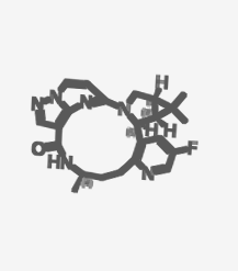 C[C@@H]1CCc2ncc(F)cc2[C@@H]2[C@@H]3[C@H](CN2c2ccn4ncc(c4n2)C(=O)N1)C3(C)C